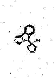 O[C@]1([C@@H]2c3ccccc3-c3cncn32)CCOC1